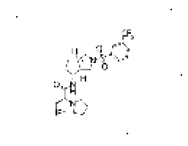 CC(C)C[C@@H](C(=O)N[C@@H]1CC[C@H]2CN(S(=O)(=O)c3cccc(C(F)(F)F)c3)C[C@H]21)N1CCCC1